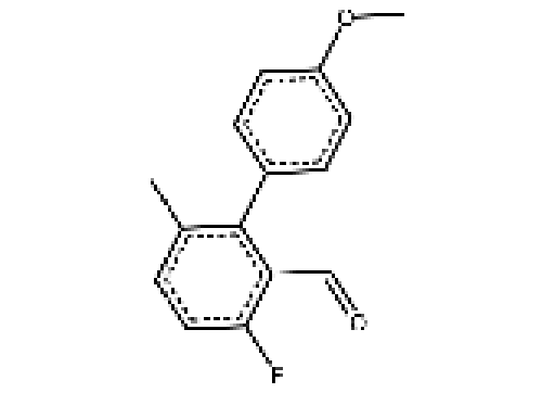 COc1ccc(-c2c(C)ccc(F)c2C=O)cc1